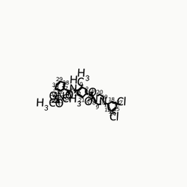 Cc1cc(S(=O)(=O)N2CCN(c3cc(Cl)cc(Cl)c3)CC2)ccc1NC(=O)c1ccccc1N(C)S(C)(=O)=O